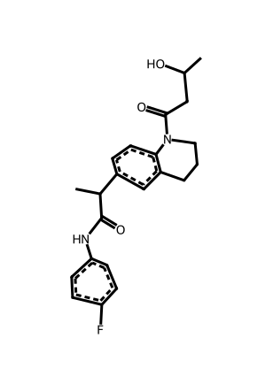 CC(O)CC(=O)N1CCCc2cc(C(C)C(=O)Nc3ccc(F)cc3)ccc21